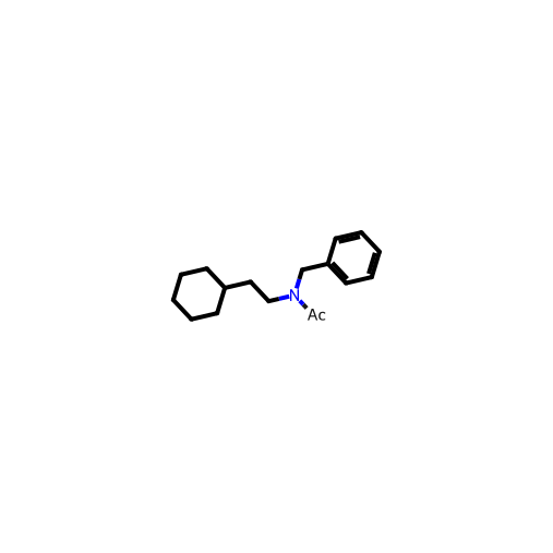 CC(=O)N(CCC1CCCCC1)Cc1ccccc1